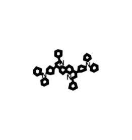 c1ccc(-c2cc(-c3ccc(N(c4ccccc4)c4ccccc4)cc3)c3ccc4c(ccc5c(-c6ccc(N(c7ccccc7)c7ccccc7)cc6)cc(-c6ccccc6)nc54)c3n2)cc1